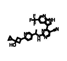 CC(Nc1ncc(C#N)c(-c2c[nH]c3ncc(C(F)(F)F)cc23)n1)c1ccc(C2CC(O)(C3CC3)C2)nc1